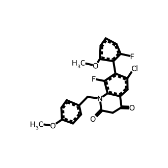 COc1ccc(CN2C(=O)CC(=O)c3cc(Cl)c(-c4c(F)cccc4OC)c(F)c32)cc1